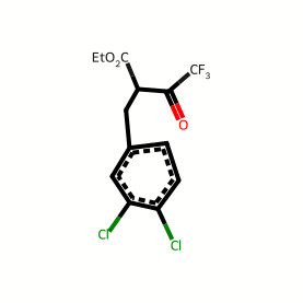 CCOC(=O)C(Cc1ccc(Cl)c(Cl)c1)C(=O)C(F)(F)F